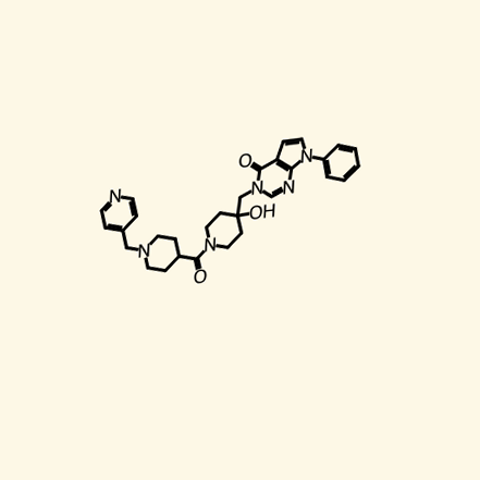 O=C(C1CCN(Cc2ccncc2)CC1)N1CCC(O)(Cn2cnc3c(ccn3-c3ccccc3)c2=O)CC1